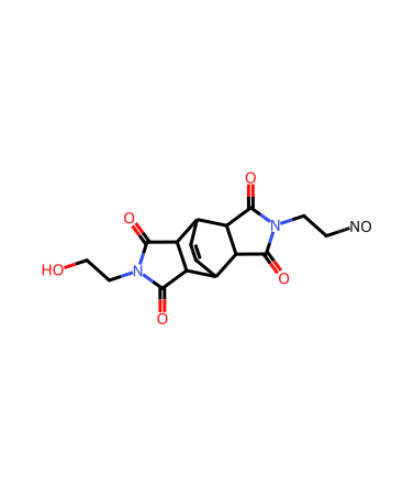 O=NCCN1C(=O)C2C3C=CC(C4C(=O)N(CCO)C(=O)C34)C2C1=O